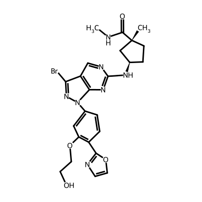 CNC(=O)[C@]1(C)CC[C@@H](Nc2ncc3c(Br)nn(-c4ccc(-c5ncco5)c(OCCO)c4)c3n2)C1